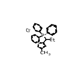 CCC(c1cc(C)cs1)[P+](c1ccccc1)(c1ccccc1)c1ccccc1.[Cl-]